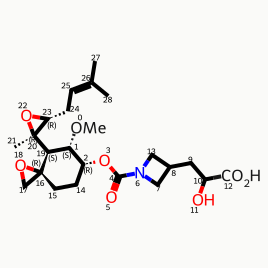 CO[C@@H]1[C@H](OC(=O)N2CC(CC(O)C(=O)O)C2)CC[C@]2(CO2)[C@H]1[C@@]1(C)O[C@@H]1CC=C(C)C